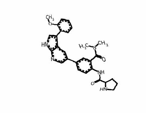 COc1ccccc1-c1c[nH]c2ncc(-c3ccc(NC(=O)C4CCCN4)c(C(=O)N(C)C)c3)cc12